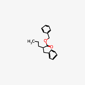 CCCC(Cc1ccccc1)C(=O)OCc1ccccc1